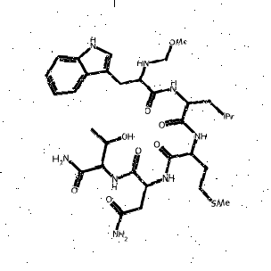 COCNC(Cc1c[nH]c2ccccc12)C(=O)NC(CC(C)C)C(=O)NC(CCSC)C(=O)NC(CC(N)=O)C(=O)NC(C(N)=O)C(C)O